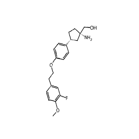 COc1ccc(CCOc2ccc([C@@H]3CC[C@@](N)(CO)C3)cc2)cc1F